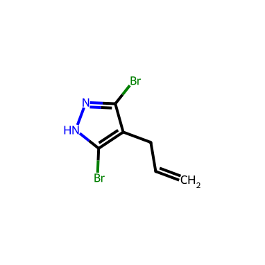 C=CCc1c(Br)n[nH]c1Br